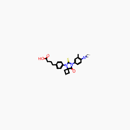 [C-]#[N+]c1ccc(N2C(=O)C3(CCC3)N(c3ccc(CCCC(=O)O)cc3)C2=S)cc1C